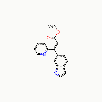 CNOC(=O)/C=C(/c1ccc2cc[nH]c2c1)c1ccccn1